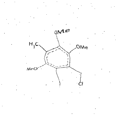 COc1c(C)c(OC)c(OC)c(CCl)c1I